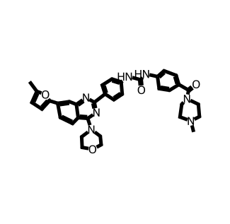 Cc1ccc(-c2ccc3c(N4CCOCC4)nc(-c4ccc(NC(=O)Nc5ccc(C(=O)N6CCN(C)CC6)cc5)cc4)nc3c2)o1